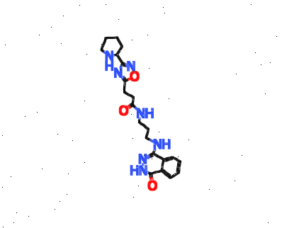 O=C(CCc1nc(C2CCCCN2)no1)NCCCNc1n[nH]c(=O)c2ccccc12